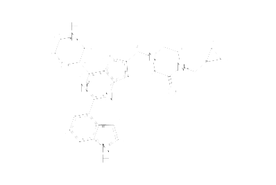 O=C1CN(Cc2cc3nc(-c4cccc5[nH]ccc45)nc(C4CNCCO4)c3s2)CCN1CC1CC1